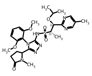 COc1cccc(OC)c1-n1c(NS(=O)(=O)[C@@H](C)[C@@H](OC(C)C)c2ncc(C)cn2)nnc1C1CCC(=O)N1C